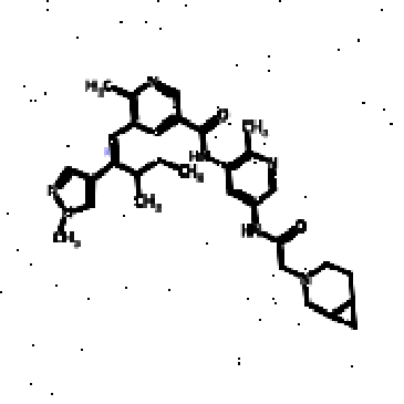 CCC(C)/C(=C\c1cc(C(=O)Nc2cc(NC(=O)CN3CCC4CC4C3)cnc2C)cnc1C)c1cnn(C)c1